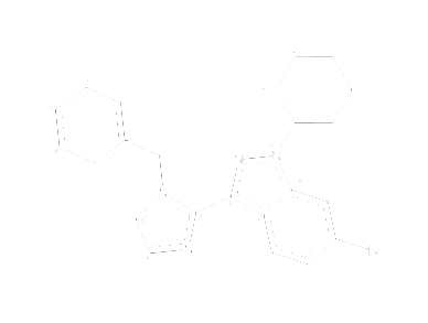 Brc1ccc2c(-c3nccn3Cc3ccccc3)nn(C3CCCCO3)c2c1